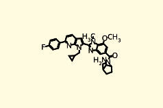 COc1cc(C(=O)N2CC3CCC2C3N)cc2nc(-c3cc4ccc(-c5ccc(F)cc5)nc4n3CC3CC3)n(C)c12